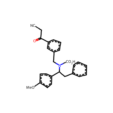 COc1ccc(C(Cc2ccccc2)N(Cc2cccc(C(=O)CC#N)c2)C(=O)O)cc1